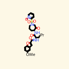 COc1ccc2oc(C(=O)NC(CC(C)C)C(=O)N[C@H]3CCCN(S(=O)(=O)c4cccc[n+]4[O-])CC3=O)cc2c1